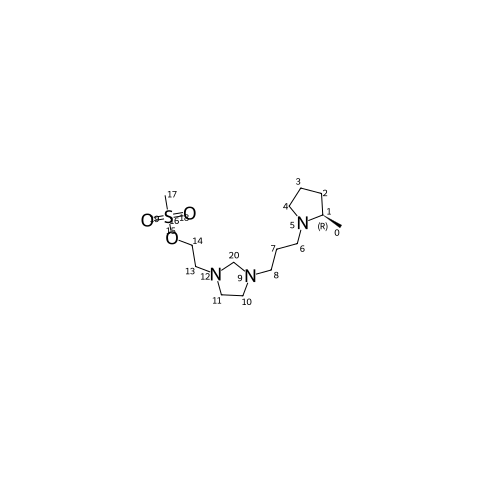 C[C@@H]1CCCN1CCCN1CCN(CCOS(C)(=O)=O)C1